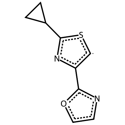 [c]1sc(C2CC2)nc1-c1ncco1